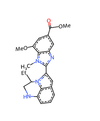 CCC1CNc2cccc3cc(-c4nc5cc(C(=O)OC)cc(OC)c5n4C)n1c23